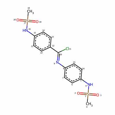 CS(=O)(=O)Nc1ccc(N=C(Cl)c2ccc(NS(C)(=O)=O)cc2)cc1